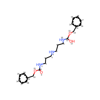 O=C(NCCCNCCCNC(O)OCc1ccccc1)OCc1ccccc1